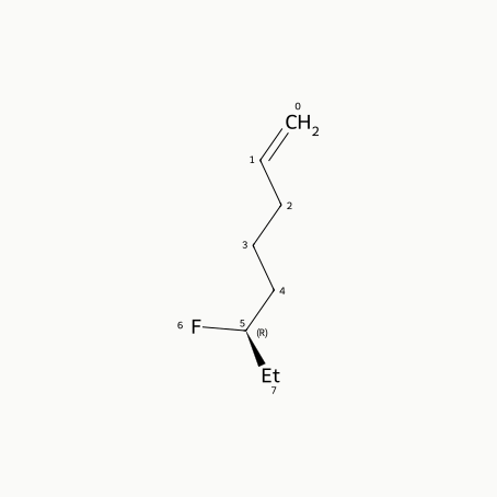 C=CCCC[C@H](F)CC